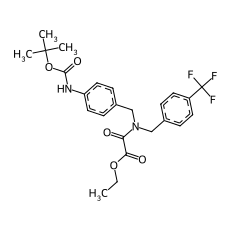 CCOC(=O)C(=O)N(Cc1ccc(NC(=O)OC(C)(C)C)cc1)Cc1ccc(C(F)(F)F)cc1